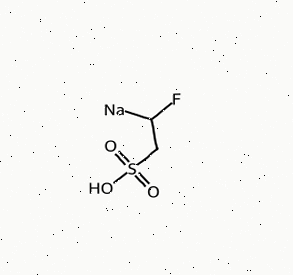 O=S(=O)(O)C[CH](F)[Na]